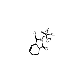 C[SH](Cl)(Cl)(Cl)N1C(=O)C2C=CCCC2C1=O